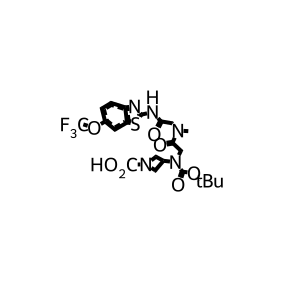 CN(CC(=O)Nc1nc2ccc(OC(F)(F)F)cc2s1)C(=O)CN(C(=O)OC(C)(C)C)C1CN(C(=O)O)C1